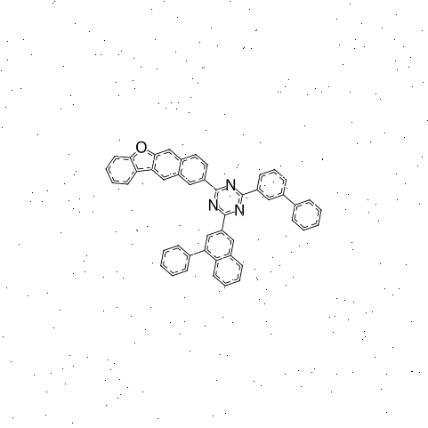 c1ccc(-c2cccc(-c3nc(-c4ccc5cc6oc7ccccc7c6cc5c4)nc(-c4cc(-c5ccccc5)c5ccccc5c4)n3)c2)cc1